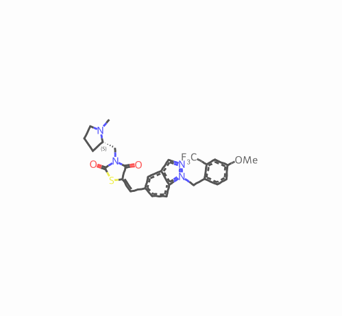 COc1ccc(Cn2ncc3cc(C=C4SC(=O)N(C[C@@H]5CCCN5C)C4=O)ccc32)c(C(F)(F)F)c1